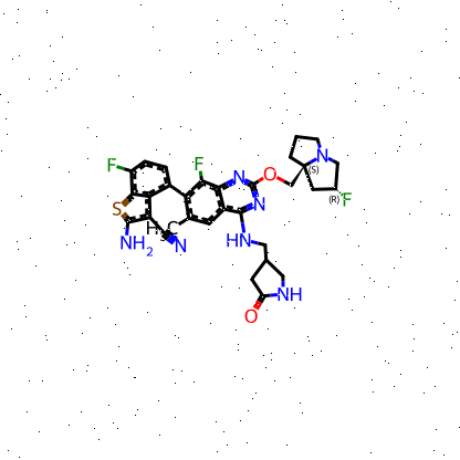 Cc1cc2c(NCC3CNC(=O)C3)nc(OC[C@@]34CCCN3C[C@H](F)C4)nc2c(F)c1-c1ccc(F)c2sc(N)c(C#N)c12